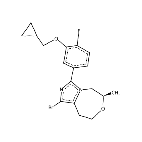 C[C@@H]1Cn2c(-c3ccc(F)c(OCC4CC4)c3)nc(Br)c2CCO1